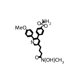 COc1ccc(-c2ncc(CCCC(=O)N(C)O)cc2-c2ccc(S(N)(=O)=O)cc2)cc1